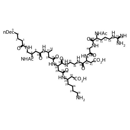 CCCCCCCCCCCCCC(=O)NCC(CC(=O)NC(C)CC(=O)NC(CC(=O)NC(CCCCN)CC(=O)O)C(=O)NCCNC(=O)C(CC(=O)O)NC(=O)CNC(=O)C(CCCNC(=N)N)NC(C)=O)NC(C)=O